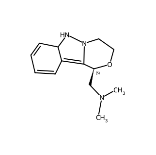 CN(C)C[C@@H]1OCCN2NC3C=CC=CC3=C12